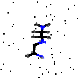 CCCN(CCC)C(CCC)(CCC)C(C)(CCC)NCC(C)N